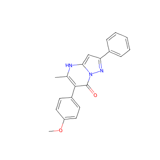 COc1ccc(-c2c(C)[nH]c3cc(-c4ccccc4)nn3c2=O)cc1